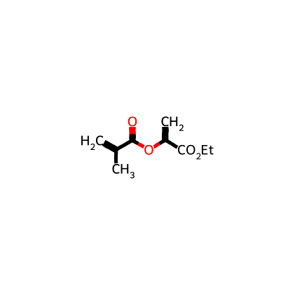 C=C(C)C(=O)OC(=C)C(=O)OCC